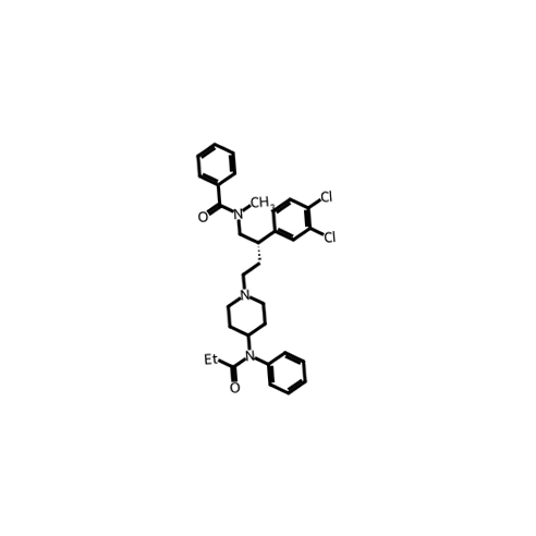 CCC(=O)N(c1ccccc1)C1CCN(CC[C@H](CN(C)C(=O)c2ccccc2)c2ccc(Cl)c(Cl)c2)CC1